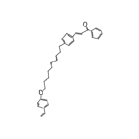 C=Cc1ccc(OCCCCCCCCCCc2ccc(C=CC(=O)c3ccccc3)cc2)cc1